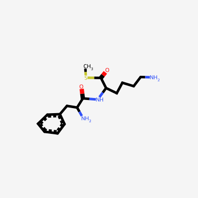 CSC(=O)C(CCCCN)NC(=O)C(N)Cc1ccccc1